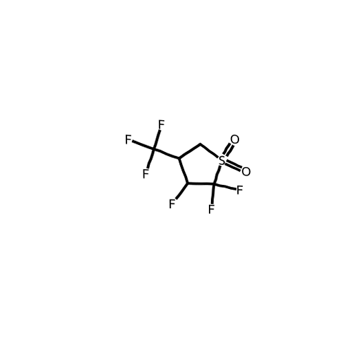 O=S1(=O)CC(C(F)(F)F)C(F)C1(F)F